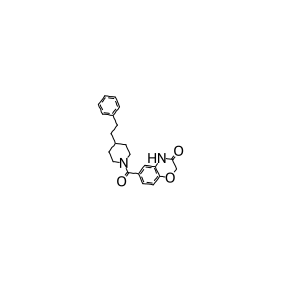 O=C1COc2ccc(C(=O)N3CCC(CCc4ccccc4)CC3)cc2N1